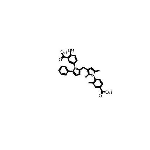 Cc1cc(C(=O)O)ccc1-n1c(C)cc(Cc2ccc(-c3ccccc3)n2-c2ccc(O)c(C(=O)O)c2)c1C